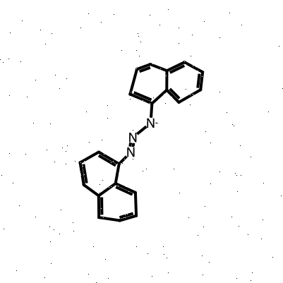 c1ccc2c([N]N=Nc3cccc4ccccc34)cccc2c1